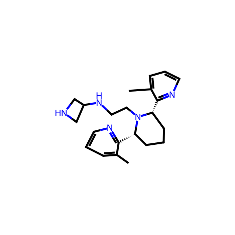 Cc1cccnc1[C@H]1CCC[C@@H](c2ncccc2C)N1CCNC1CNC1